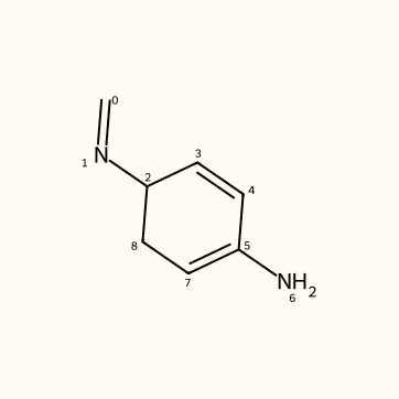 C=NC1C=CC(N)=CC1